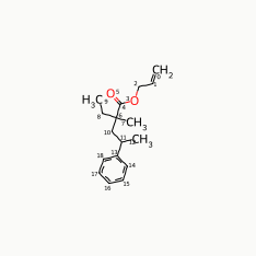 C=CCOC(=O)C(C)(CC)CC(C)c1ccccc1